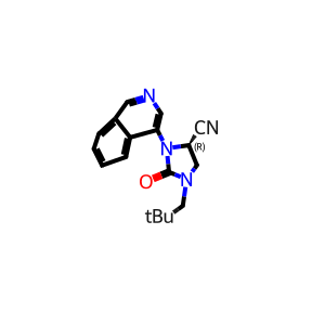 CC(C)(C)CN1C[C@H](C#N)N(c2cncc3ccccc23)C1=O